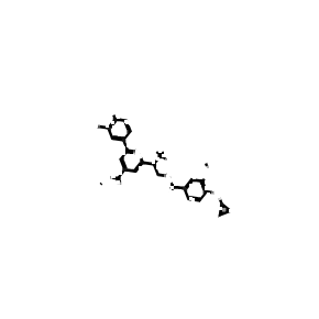 COC(=O)c1cc(-c2ccc(F)c(Cl)c2)nc(C(CNC(=O)c2ccc(OC3CC3)c(OC)c2)C(F)(F)F)c1